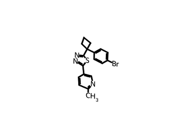 Cc1ccc(-c2nnc(C3(c4ccc(Br)cc4)CCC3)s2)cn1